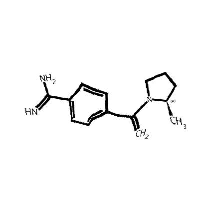 C=C(c1ccc(C(=N)N)cc1)N1CCC[C@H]1C